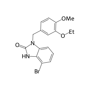 CCOc1cc(Cn2c(=O)[nH]c3c(Br)cccc32)ccc1OC